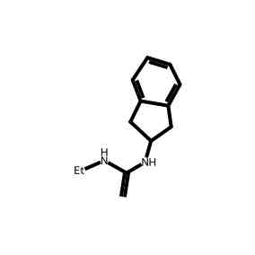 C=C(NCC)NC1Cc2ccccc2C1